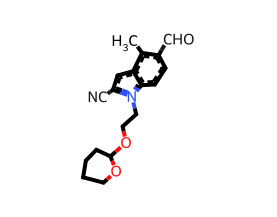 Cc1c(C=O)ccc2c1cc(C#N)n2CCOC1CCCCO1